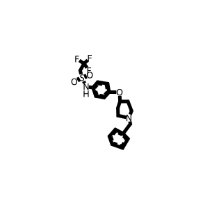 O=S(=O)(CC(F)(F)F)Nc1ccc(OC2CCN(Cc3ccccc3)CC2)cc1